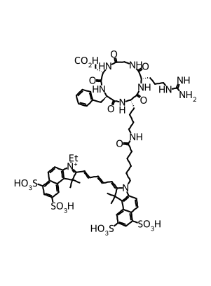 CC[N+]1=C(/C=C/C=C/C=C2/N(CCCCCC(=O)NCCCC[C@@H]3NC(=O)[C@@H](Cc4ccccc4)NC(=O)[C@H](CC(=O)O)NC(=O)CNC(=O)[C@H](CCCNC(=N)N)NC3=O)c3ccc4c(S(=O)(=O)O)cc(S(=O)(=O)O)cc4c3C2(C)C)C(C)(C)c2c1ccc1c(S(=O)(=O)O)cc(S(=O)(=O)O)cc21